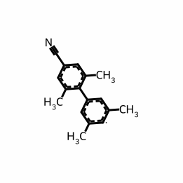 Cc1[c]c(C)cc(-c2c(C)cc(C#N)cc2C)c1